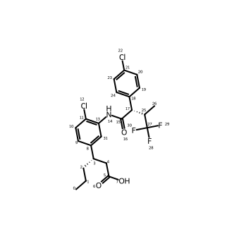 CCC[C@@H](CC(=O)O)c1ccc(Cl)c(NC(=O)[C@H](c2ccc(Cl)cc2)C(C)C(F)(F)F)c1